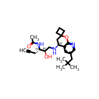 C#CC[C@H](NC(C)=O)[C@H](O)CN[C@H]1CC2(CCC2)Oc2ncc(CC(C)(C)C)cc21